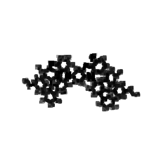 C=Cc1ccc(C2(c3cc(C)ccc3C)c3ccccc3-c3ccc(N(c4ccc(N(c5ccc6c(c5)C(c5ccc(C=C)cc5)(c5cc(C)ccc5C)c5ccccc5-6)c5cccc(F)c5F)cc4)c4cccc(F)c4F)cc32)cc1